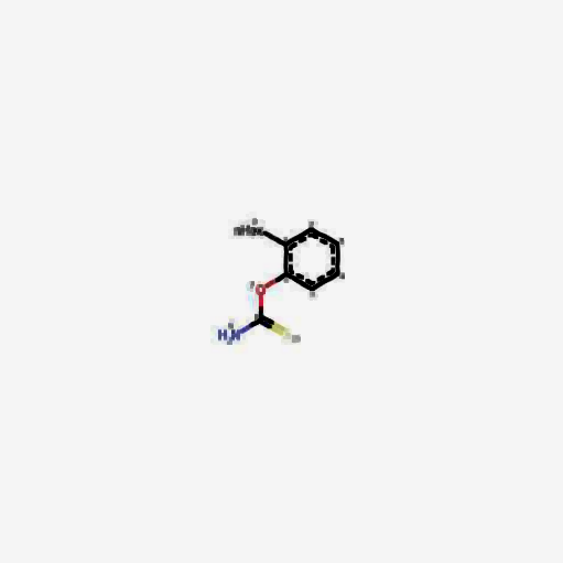 CCCCCCc1ccccc1OC(N)=S